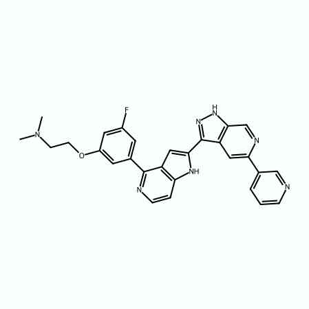 CN(C)CCOc1cc(F)cc(-c2nccc3[nH]c(-c4n[nH]c5cnc(-c6cccnc6)cc45)cc23)c1